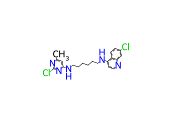 Cc1cc(NCCCCCCNc2ccnc3cc(Cl)ccc23)nc(Cl)n1